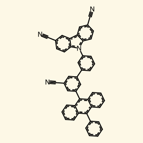 N#Cc1cc(-c2cccc(-n3c4ccc(C#N)cc4c4cc(C#N)ccc43)c2)cc(-c2c3ccccc3c(-c3ccccc3)c3ccccc23)c1